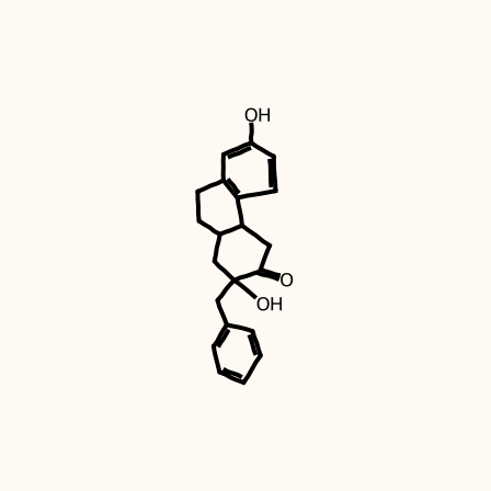 O=C1CC2c3ccc(O)cc3CCC2CC1(O)Cc1ccccc1